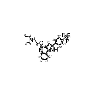 CCN(CC)CCOc1nc2ccccc2c2[nH]c(-c3ccc(C(F)(F)F)cc3)cc12